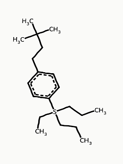 CCCS(CC)(CCC)c1ccc(CCC(C)(C)C)cc1